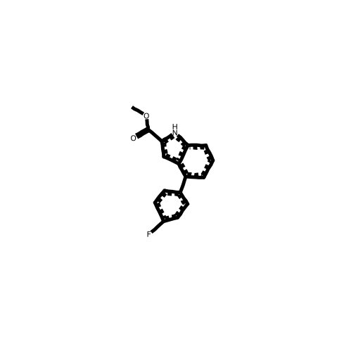 COC(=O)c1cc2c(-c3ccc(F)cc3)cccc2[nH]1